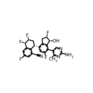 Cc1nc(N)ncc1-c1c(F)cc([C@H]2C[C@H](F)[C@H](F)c3cc(F)cc(C#N)c32)c2c1[C@H](O)[C@H](F)C2